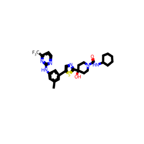 Cc1cc(Nc2nccc(C(F)(F)F)n2)cc(-c2cnc(C3(O)CCN(C(=O)NC4CCCCC4)CC3)s2)c1